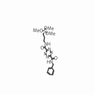 CO[Si](CCCNC(=O)c1nnc(C(=O)NCc2ccccc2)nn1)(OC)OC